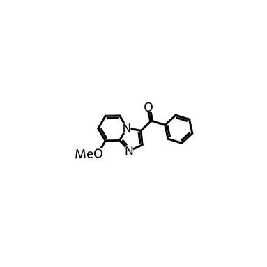 COc1cccn2c(C(=O)c3ccccc3)cnc12